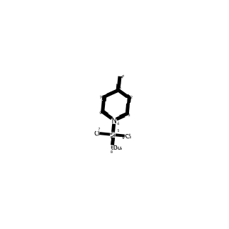 CC1CCN([Si](Cl)(Cl)C(C)(C)C)CC1